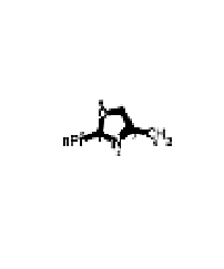 CCCC1N=C(C)CO1